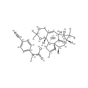 CC1=C[C@]23C(=O)[C@@H](C=C4COC(C)(C)O[C@H]4[C@]2(O)[C@H]1OC(=O)N(C)c1ccc(C#N)cc1)[C@H]1[C@@H](C[C@H]3C)C1(C)C